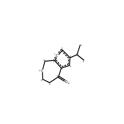 CC(C)c1ccc2c(c1)C(=O)CCCC2